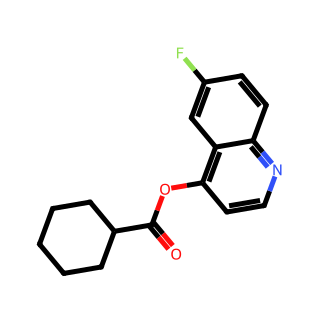 O=C(Oc1ccnc2ccc(F)cc12)C1CCCCC1